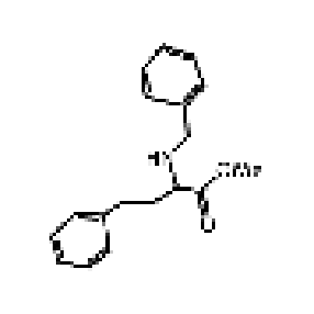 COC(=O)C(CCc1ccccc1)NCc1ccccc1